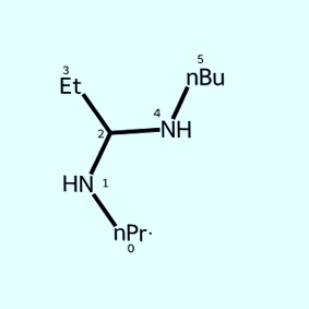 CC[CH]NC(CC)NCCCC